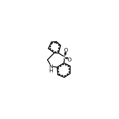 O=S1(=O)c2ccccc2CNc2ccccc21